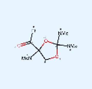 CCC(=O)C1(NC)COC(NC)(NC)O1